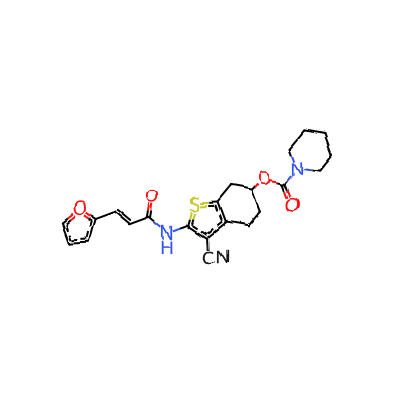 N#Cc1c(NC(=O)C=Cc2ccco2)sc2c1CCC(OC(=O)N1CCCCC1)C2